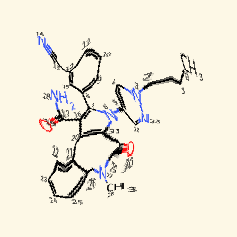 CCCn1cc(-n2c(-c3cccc(C#N)c3)c(C(N)=O)c3c4ccccc4n(C)c(=O)c32)cn1